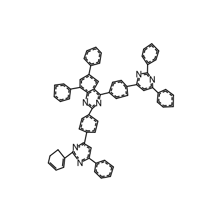 C1=CCCC(c2nc(-c3ccccc3)cc(-c3ccc(-c4nc(-c5ccc(-c6cc(-c7ccccc7)nc(-c7ccccc7)n6)cc5)c5cc(-c6ccccc6)cc(-c6ccccc6)c5n4)cc3)n2)=C1